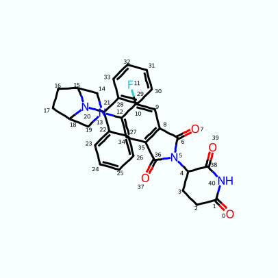 O=C1CCC(N2C(=O)c3cc(F)c(N4CC5CCC(C4)N5C(c4ccccc4)c4ccccc4)cc3C2=O)C(=O)N1